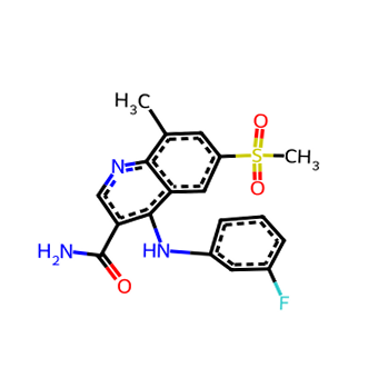 Cc1cc(S(C)(=O)=O)cc2c(Nc3cccc(F)c3)c(C(N)=O)cnc12